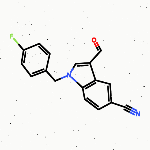 N#Cc1ccc2c(c1)c(C=O)cn2Cc1ccc(F)cc1